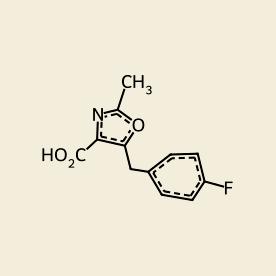 Cc1nc(C(=O)O)c(Cc2ccc(F)cc2)o1